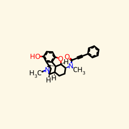 CN1CC[C@@]23c4c5ccc(O)c4C[C@@H]1[C@@H]2CC[C@H](N(C)C(=O)C#Cc1ccccc1)[C@@H]3O5